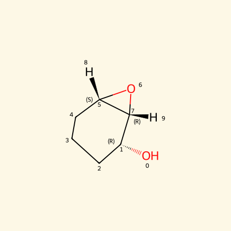 O[C@@H]1CCC[C@@H]2O[C@H]12